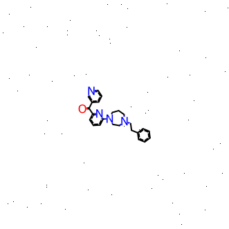 O=C(c1cccnc1)c1cccc(N2CCCN(CCc3ccccc3)CC2)n1